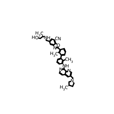 Cc1c(Nc2nccc3cc(CN4CC[C@H](C)C4)cnc23)cccc1-c1cccc(-c2nc3cc(CN[C@@H](C)CO)cc(C#N)c3o2)c1C